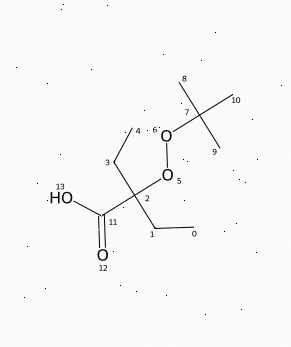 CCC(CC)(OOC(C)(C)C)C(=O)O